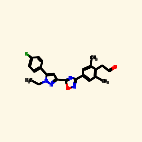 CCn1nc(-c2nc(-c3cc(C)c(CC=O)c(C)c3)no2)cc1-c1ccc(F)cc1